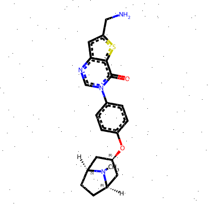 CN1[C@@H]2CC[C@H]1C[C@@H](Oc1ccc(-n3cnc4cc(CN)sc4c3=O)cc1)C2